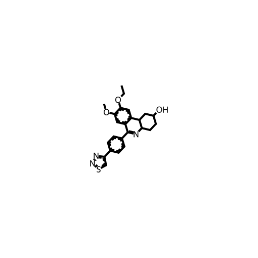 CCOc1cc2c(cc1OC)C(c1ccc(-c3csnn3)cc1)=NC1CCC(O)CC21